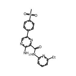 CCc1cccc(NC(=O)c2nc(-c3ccc(S(C)(=O)=O)cc3)cnc2N)n1